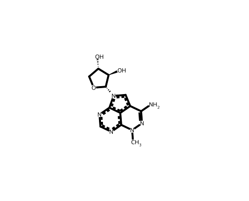 CN1N=C(N)c2cn([C@@H]3OC[C@H](O)[C@H]3O)c3ncnc1c23